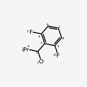 CC(C)C([O])c1c(F)cccc1F